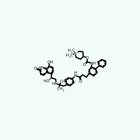 CC(C)(Cc1ccc(NC(=O)CCc2ccc(-c3ccccc3)c(NC(=O)OC3CC[N+](C)(C)CC3)c2)cc1)NC[C@@H](O)c1ccc(O)c2[nH]c(=O)ccc12